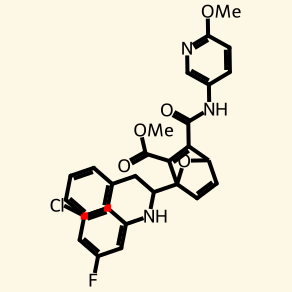 COC(=O)C1=C(C(=O)Nc2ccc(OC)nc2)C2C=CC1(C(Cc1ccccc1)Nc1cc(F)cc(Cl)c1)O2